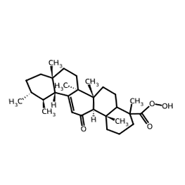 C[C@H]1[C@H](C)CC[C@]2(C)CC[C@]3(C)C(=CC(=O)[C@@H]4[C@@]5(C)CCCC(C)(C(=O)OO)C5CC[C@]43C)[C@H]12